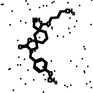 CCCCOCC1(CN)CCCC2(CN(Cc3ccc(OC)cc3)C(=O)O2)C1